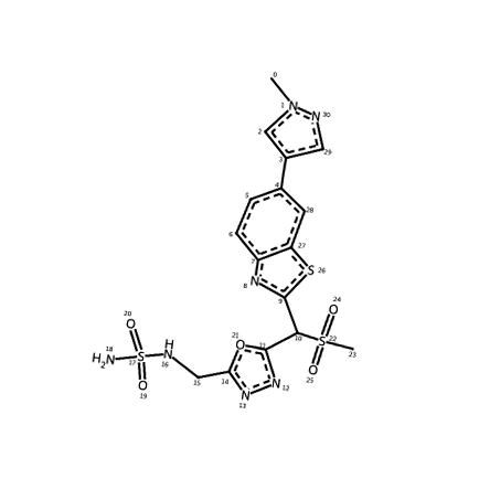 Cn1cc(-c2ccc3nc(C(c4nnc(CNS(N)(=O)=O)o4)S(C)(=O)=O)sc3c2)cn1